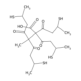 CC(S)CC(=O)C(C)(C(=O)CC(C)S)C(C(=O)O)(C(=O)CC(C)S)C(=O)CC(C)S